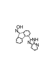 ON=C1c2ccccc2-c2c1cccc2-c1nc2cccnc2[nH]1